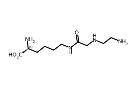 NCCNCC(=O)NCCCC[C@H](N)C(=O)O